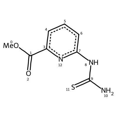 COC(=O)c1cccc(NC(N)=S)n1